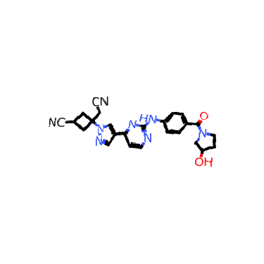 N#CCC1(n2cc(-c3ccnc(Nc4ccc(C(=O)N5CCC(O)C5)cc4)n3)cn2)CC(C#N)C1